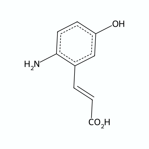 Nc1ccc(O)cc1C=CC(=O)O